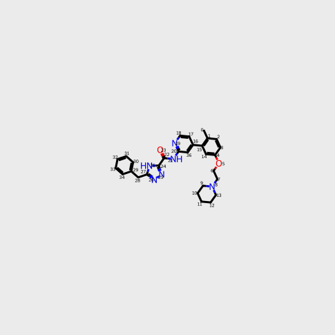 Cc1ccc(OCCN2CCCCC2)cc1-c1ccnc(NC(=O)c2nnc(Cc3ccccc3)[nH]2)c1